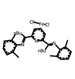 CCCCC(=Nc1c(C)cccc1C)c1cccc(C(CCCC)=Nc2c(C)cccc2C)n1.[Cl][Fe][Cl]